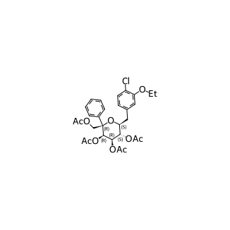 CCOc1cc(C[C@@H]2O[C@@](COC(C)=O)(c3ccccc3)[C@H](OC(C)=O)[C@H](OC(C)=O)[C@H]2OC(C)=O)ccc1Cl